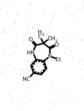 CCN1C(=O)C(C)(C)C(=O)Nc2cc(C#N)ccc21